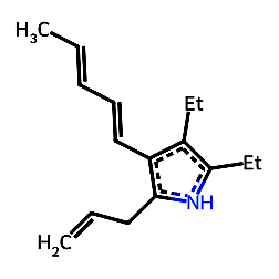 C=CCc1[nH]c(CC)c(CC)c1C=CC=CC